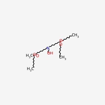 CCCCCCCCOC(CCCCCCCN(CCO)CCCCCCCC(=O)OC(C)CCCCCCCC)OCCCCCCCC